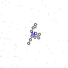 CC1(C)c2ccccc2-c2ccc(-c3cccc(N(c4ccc(-c5ccc(-c6ccccc6)cc5)cc4)c4cccc5c4-c4ccccc4C5(c4ccccc4)c4ccccc4)c3)cc21